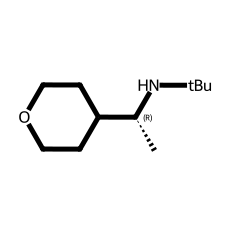 C[C@@H](NC(C)(C)C)C1CCOCC1